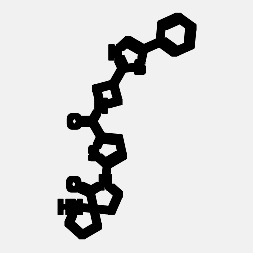 O=C(c1ccc(N2CCC3(CCCN3)C2=O)s1)N1CC(c2ncc(-c3ccccc3)s2)C1